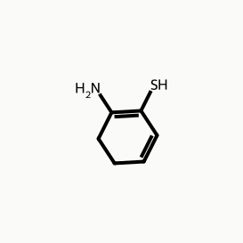 NC1=C(S)C=CCC1